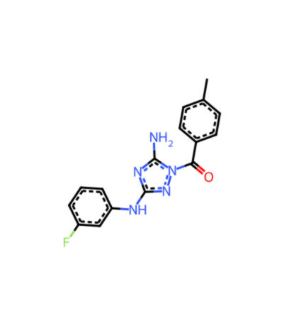 Cc1ccc(C(=O)n2nc(Nc3cccc(F)c3)nc2N)cc1